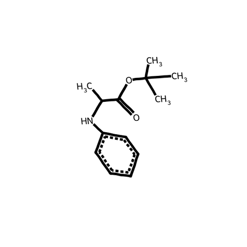 CC(Nc1ccccc1)C(=O)OC(C)(C)C